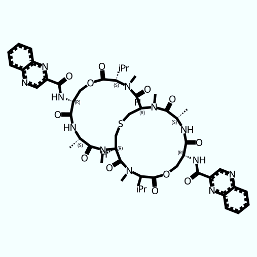 CC(C)C1C(=O)OC[C@@H](NC(=O)c2cnc3ccccc3n2)C(=O)N[C@@H](C)C(=O)N(C)[C@H]2CSC[C@@H](C(=O)N1C)N(C)C(=O)[C@H](C)NC(=O)[C@H](NC(=O)c1cnc3ccccc3n1)COC(=O)[C@H](C(C)C)N(C)C2=O